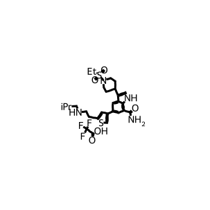 CCS(=O)(=O)N1CCC(c2c[nH]c3c(C(N)=O)cc(-c4csc(CCNCC(C)C)c4)cc23)CC1.O=C(O)C(F)(F)F